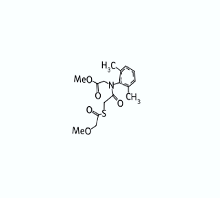 COCC(=O)SCC(=O)N(CC(=O)OC)c1c(C)cccc1C